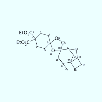 CCOC(=O)C1(C(=O)OCC)CCC2(CC1)OOC1(O2)C2CC3CC4CC1CC34C2